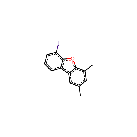 Cc1cc(C)c2oc3c(I)cccc3c2c1